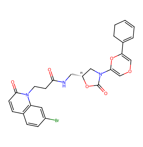 O=C(CCn1c(=O)ccc2ccc(Br)cc21)NC[C@@H]1CN(C2=COC=C(C3=CC=CCC3)O2)C(=O)O1